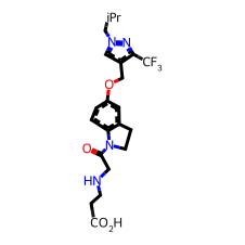 CC(C)Cn1cc(COc2ccc3c(c2)CCN3C(=O)CNCCC(=O)O)c(C(F)(F)F)n1